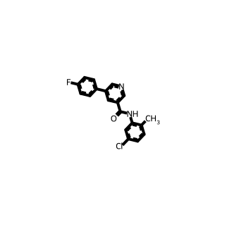 Cc1ccc(Cl)cc1NC(=O)c1cncc(-c2ccc(F)cc2)c1